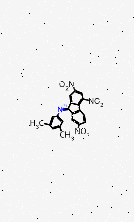 Cc1cc(C)cc(/N=C2\c3cc([N+](=O)[O-])ccc3-c3c2cc([N+](=O)[O-])cc3[N+](=O)[O-])c1